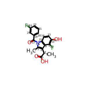 Cc1c([C@H](C)C(=O)O)c2c(F)c(O)ccc2n1C(=O)c1cccc(F)c1